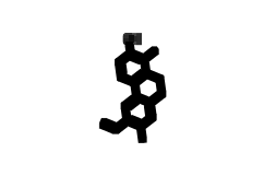 C=Cc1cc2c(cc1C)CCc1c-2ccc(O)c1C